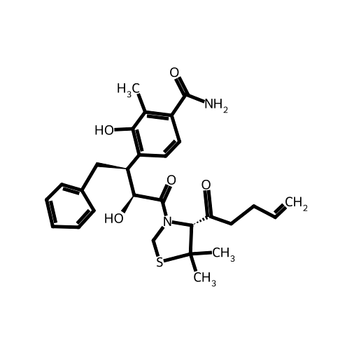 C=CCCC(=O)[C@H]1N(C(=O)[C@@H](O)[C@@H](Cc2ccccc2)c2ccc(C(N)=O)c(C)c2O)CSC1(C)C